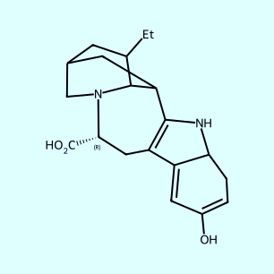 CCC1CC2CC3C4=C(C[C@H](C(=O)O)N(C2)C13)C1=CC(O)=CCC1N4